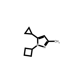 Cc1cc(C2CC2)n(C2CCC2)n1